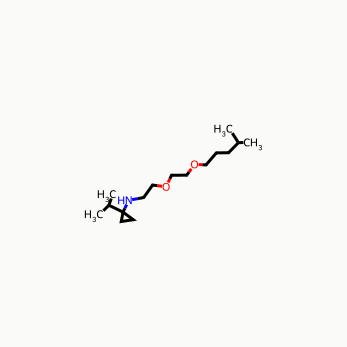 CC(C)CCCOCCOCCNC1(C(C)C)CC1